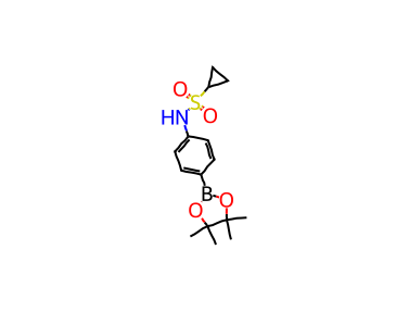 CC1(C)OB(c2ccc(NS(=O)(=O)C3CC3)cc2)OC1(C)C